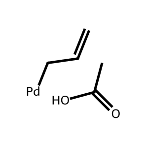 C=C[CH2][Pd].CC(=O)O